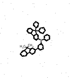 CC1(C)c2ccccc2-c2ccc(-c3cccc(N(c4ccccc4)c4ccc5c(c4)C(c4ccccc4)(c4ccccc4)c4ccccc4-5)c3)cc21